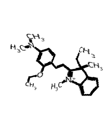 CCOc1cc(N(C)C)ccc1/C=C/C1=[N+](C)c2ccccc2C1(C)CC